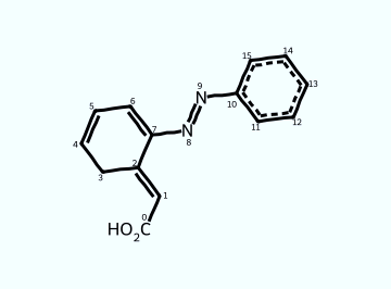 O=C(O)C=C1CC=CC=C1N=Nc1ccccc1